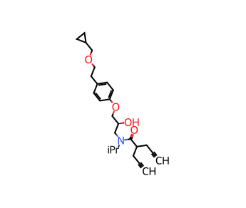 C#CCC(CC#C)C(=O)N(C[C@H](O)COc1ccc(CCOCC2CC2)cc1)C(C)C